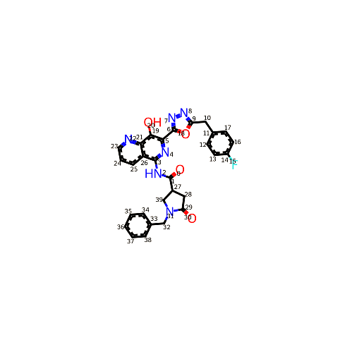 O=C(Nc1nc(-c2nnc(Cc3ccc(F)cc3)o2)c(O)c2ncccc12)C1CC(=O)N(Cc2ccccc2)C1